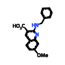 COc1ccc2cc(C(=O)O)c(NCc3ccccc3)nc2c1